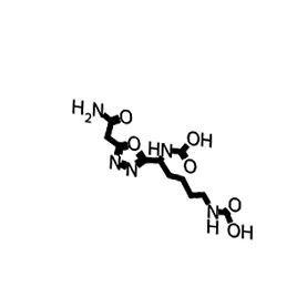 NC(=O)Cc1nnc(C(CCCCNC(=O)O)NC(=O)O)o1